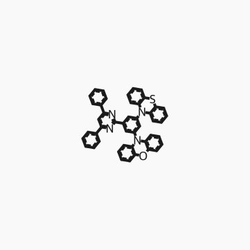 c1ccc(-c2cc(-c3ccccc3)nc(-c3cc(N4c5ccccc5Oc5ccccc54)cc(N4c5ccccc5Sc5ccccc54)c3)n2)cc1